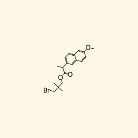 COc1ccc2cc(C(C)C(=O)OCC(C)(C)CBr)ccc2c1